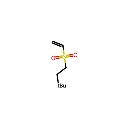 C=CS(=O)(=O)CCC(C)(C)C